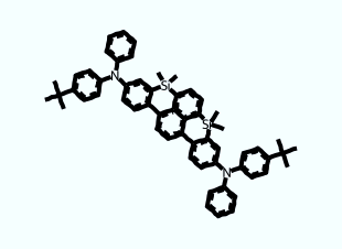 CC(C)(C)c1ccc(N(c2ccccc2)c2ccc3c(c2)[Si](C)(C)c2ccc4c5c(ccc-3c25)-c2ccc(N(c3ccccc3)c3ccc(C(C)(C)C)cc3)cc2[Si]4(C)C)cc1